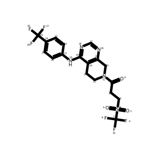 O=C(CCS(=O)(=O)C(F)(F)F)N1CCc2c(ncnc2Nc2ccc(C(F)(F)F)cc2)C1